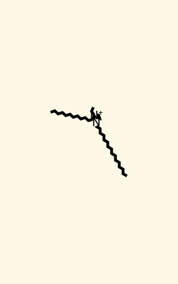 CCCCCCCCCCCCCCCCn1cc[n+](CC)c1CCCCCCCCCCC